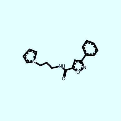 O=C(NCCCn1cccc1)c1cc(-c2ccccc2)no1